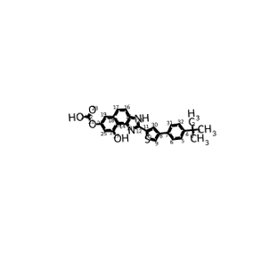 CC(C)(C)c1ccc(-c2csc(-c3nc4c(ccc5cc(OC(=O)O)cc(O)c54)[nH]3)c2)cc1